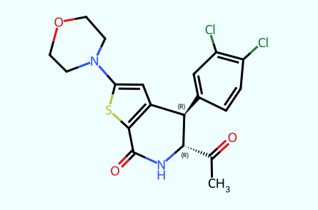 CC(=O)[C@@H]1NC(=O)c2sc(N3CCOCC3)cc2[C@H]1c1ccc(Cl)c(Cl)c1